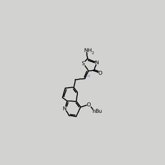 CCCCOc1ccnc2ccc(C/C=C3\SC(N)=NC3=O)cc12